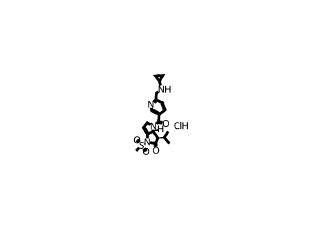 CC(C)[C@H]1C(=O)N(S(C)(=O)=O)C2=CCN(C(=O)c3ccc(CNC4CC4)nc3)[C@@H]21.Cl